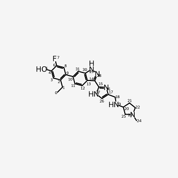 CCc1cc(O)c(F)cc1-c1ccc2c(-c3nc(CNC4CCN(C)C4)c[nH]3)n[nH]c2c1